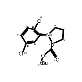 CC(C)(C)OC(=O)N1CCCN1c1cc(Cl)ccc1Cl